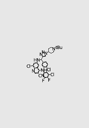 CC(C)(C)N1CCC(n2cc(C(Nc3cc(Cl)c4ncc(C#N)c(Nc5cc(F)c(F)c(Cl)c5)c4c3)c3ccc(Cl)cc3)nn2)CC1